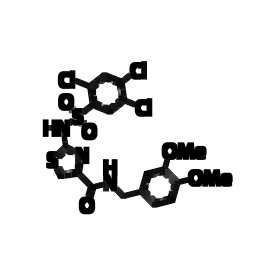 COc1ccc(CNC(=O)c2csc(NS(=O)(=O)c3cc(Cl)c(Cl)cc3Cl)n2)cc1OC